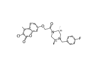 Cc1c(Cl)c(=O)oc2cc(OCC(=O)N3C[C@H](C)N(Cc4ccc(F)cc4)C[C@H]3C)ccc12